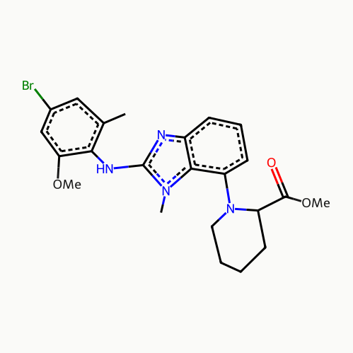 COC(=O)C1CCCCN1c1cccc2nc(Nc3c(C)cc(Br)cc3OC)n(C)c12